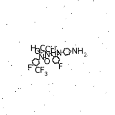 CC1(C)C(=O)N(c2ccc(F)c(C(F)(F)F)c2)C(=O)N1Cc1ccc(F)cc1Nc1ccc(N)cc1